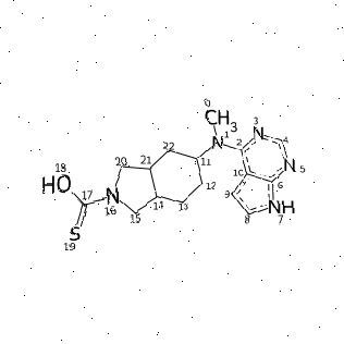 CN(c1ncnc2[nH]ccc12)C1CCC2CN(C(O)=S)CC2C1